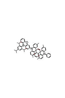 Cc1ccc2c(c1)C1(c3cc(C)ccc3N2c2ccccc2)c2ccccc2C2(c3cc(C)ccc3N(c3ccc4c(c3)Oc3ccccc3B4c3c(C(C)C)cc(C(C)C)cc3C(C)C)c3ccc(C)cc32)c2ccccc21